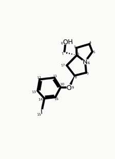 OC[C@]12CCCN1C[C@@H](Oc1cccc(I)c1)C2